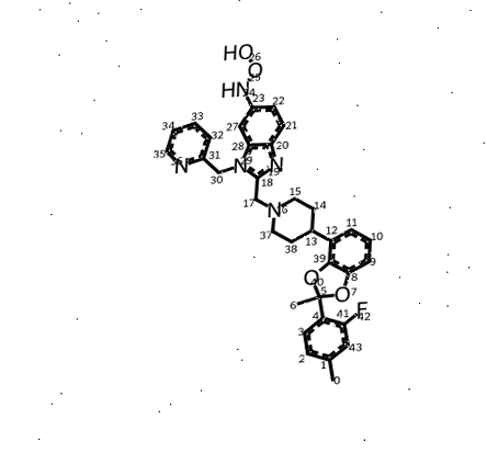 Cc1ccc(C2(C)Oc3cccc(C4CCN(Cc5nc6ccc(NOO)cc6n5Cc5ccccn5)CC4)c3O2)c(F)c1